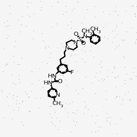 Cc1ccc(NC(=O)Nc2cc(F)cc(CCCN3CCN(S(=O)(=O)N(C)c4ccccc4C)CC3)c2)cn1